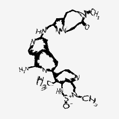 Cc1c(-c2cc3cc(Nc4cc5n(n4)CC(=O)N(C)CC5)ncc3c(N)n2)cnc2c1N[S+]([O-])N(C)C2